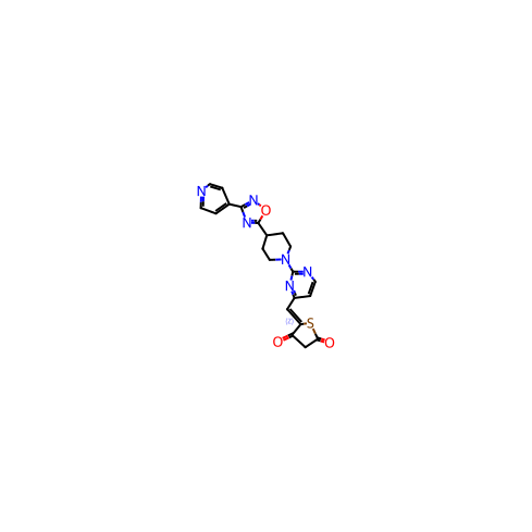 O=C1CC(=O)/C(=C/c2ccnc(N3CCC(c4nc(-c5ccncc5)no4)CC3)n2)S1